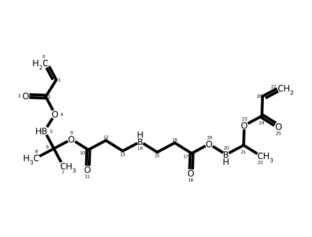 C=CC(=O)OBC(C)(C)OC(=O)CCBCCC(=O)OBC(C)OC(=O)C=C